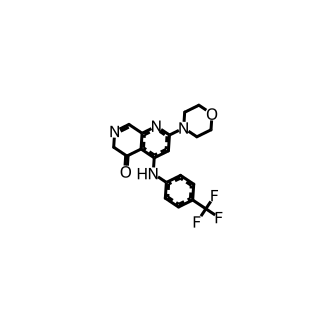 O=C1CN=Cc2nc(N3CCOCC3)cc(Nc3ccc(C(F)(F)F)cc3)c21